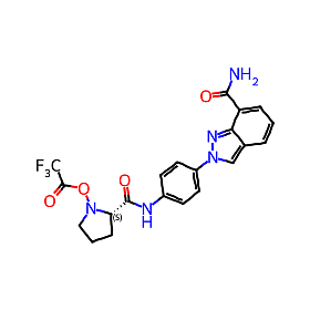 NC(=O)c1cccc2cn(-c3ccc(NC(=O)[C@@H]4CCCN4OC(=O)C(F)(F)F)cc3)nc12